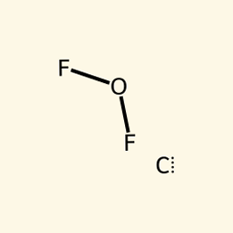 FOF.[C]